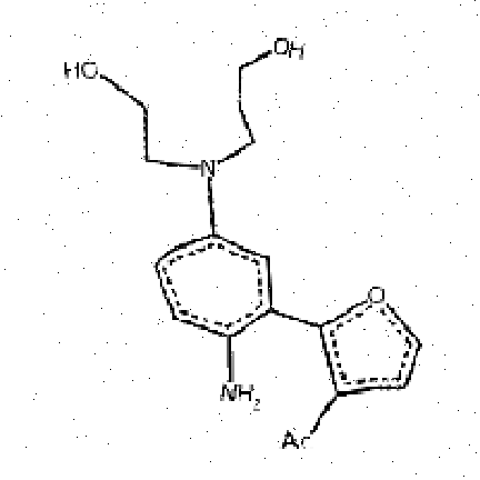 CC(=O)c1ccoc1-c1cc(N(CCO)CCO)ccc1N